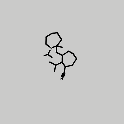 CC(C)C1C(C#N)CCCCC1CC1(C)CCCCCN1C(C)C